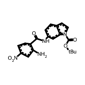 CC(C)(C)OC(=O)n1ccc2ccc(NC(=O)c3ccc([N+](=O)[O-])cc3N)cc21